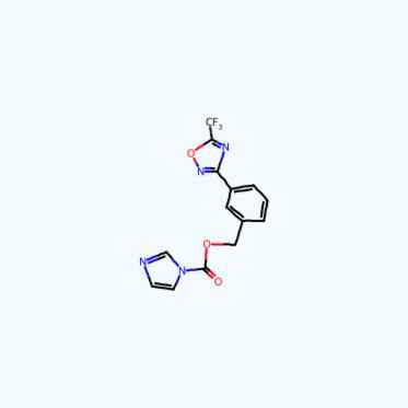 O=C(OCc1cccc(-c2noc(C(F)(F)F)n2)c1)n1ccnc1